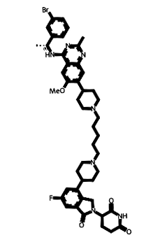 COc1cc2c(N[C@H](C)c3cccc(Br)c3)nc(C)nc2cc1C1CCN(CCCCCN2CCC(c3cc(F)cc4c3CN(C3CCC(=O)NC3=O)C4=O)CC2)CC1